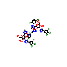 Cc1nc(C2OC(CO)C(O)C(n3cc(-c4cc(F)c(Cl)c(F)c4)nn3)C2OC(=O)NCCCNC(=O)OC2C(c3nc(C)nn3-c3cc(Cl)ccc3Cl)OC(CO)C(O)C2n2cc(-c3cc(F)c(Cl)c(F)c3)nn2)n(-c2cc(Cl)ccc2Cl)n1